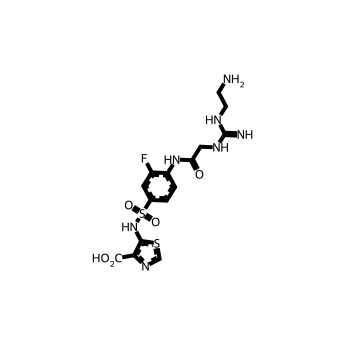 N=C(NCCN)NCC(=O)Nc1ccc(S(=O)(=O)Nc2scnc2C(=O)O)cc1F